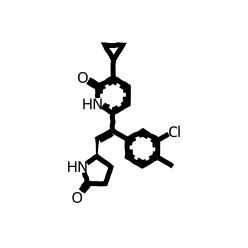 Cc1ccc(/C(=C\[C@H]2CCC(=O)N2)c2ccc(C3CC3)c(=O)[nH]2)cc1Cl